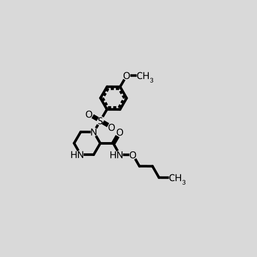 CCCCONC(=O)C1CNCCN1S(=O)(=O)c1ccc(OC)cc1